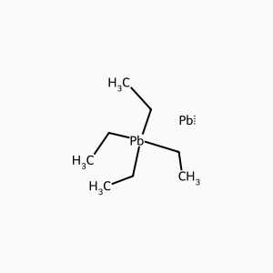 C[CH2][Pb]([CH2]C)([CH2]C)[CH2]C.[Pb]